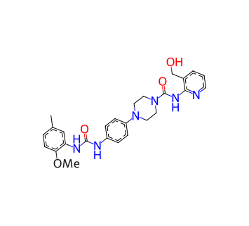 COc1ccc(C)cc1NC(=O)Nc1ccc(N2CCN(C(=O)Nc3ncccc3CO)CC2)cc1